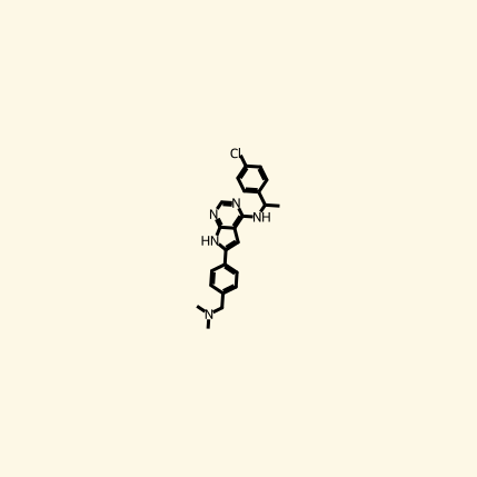 CC(Nc1ncnc2[nH]c(-c3ccc(CN(C)C)cc3)cc12)c1ccc(Cl)cc1